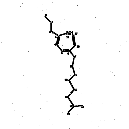 CCCC1=CC=C(CCCCCCC(C)C)C=CN1